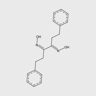 ON=C(CCc1ccccc1)C(CCc1ccccc1)=NO